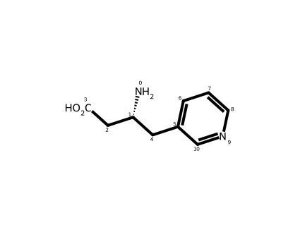 N[C@@H](CC(=O)O)Cc1cccnc1